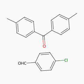 Cc1ccc(C(=O)c2ccc(C)cc2)cc1.O=Cc1ccc(Cl)cc1